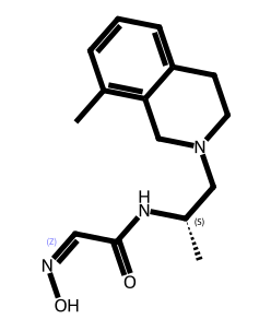 Cc1cccc2c1CN(C[C@H](C)NC(=O)/C=N\O)CC2